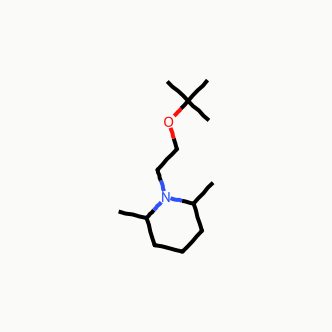 CC1CCCC(C)N1CCOC(C)(C)C